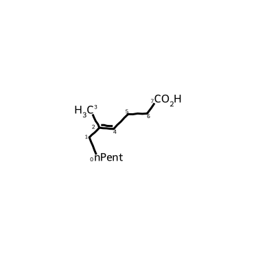 CCCCCCC(C)=CCCC(=O)O